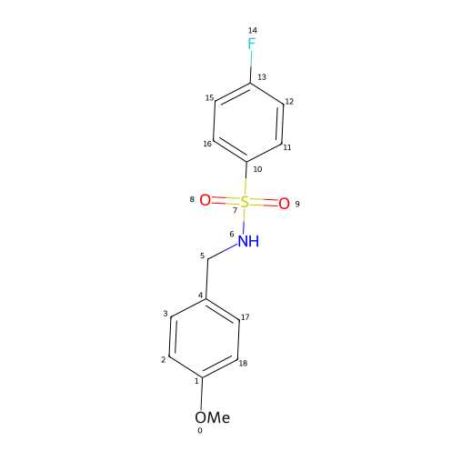 COc1ccc(CNS(=O)(=O)c2ccc(F)cc2)cc1